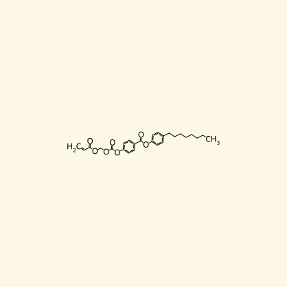 C=CC(=O)OCOC(=O)Oc1ccc(C(=O)Oc2ccc(CCCCCCCC)cc2)cc1